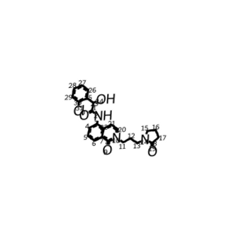 O=C(Nc1cccc2c(=O)n(CCCN3CCCC3=O)ccc12)C(O)c1ccccc1Cl